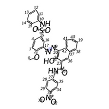 COc1ccc(S(=O)(=O)Nc2ccccc2)cc1/N=N/c1c(O)c(C(=O)Nc2ccc([N+](=O)[O-])cc2)cc2ccccc12